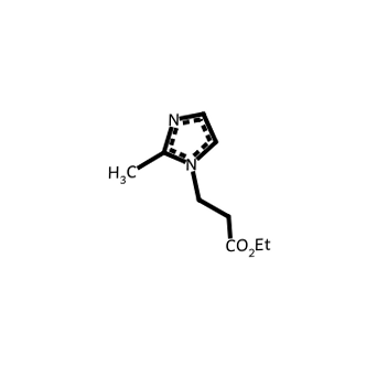 CCOC(=O)CCn1ccnc1C